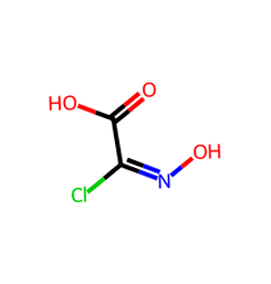 O=C(O)/C(Cl)=N\O